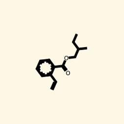 C=Cc1ccccc1C(=O)OCC(C)CC